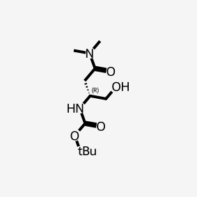 CN(C)C(=O)C[C@H](CO)NC(=O)OC(C)(C)C